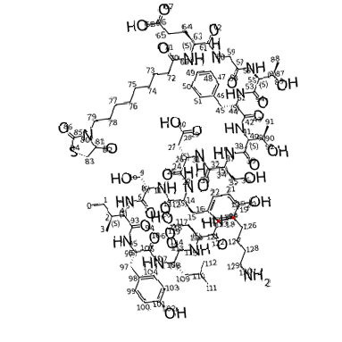 CC[C@H](C)[C@H](NC(=O)[C@H](CO)NC(=O)[C@H](Cc1ccc(O)cc1)NC(=O)[C@H](CC(=O)O)NC(=O)[C@H](CO)NC(=O)[C@@H](NC(=O)[C@H](Cc1ccccc1)NC(=O)[C@@H](NC(=O)CNC(=O)[C@H](CCC(=O)O)NC(=O)CCCCCCCCN1C(=O)CSC1=O)[C@@H](C)O)[C@@H](C)O)C(=O)N[C@@H](Cc1ccc(O)cc1)C(=O)N[C@@H](CC(C)C)C(=O)N[C@@H](CC(=O)O)C(=O)N[C@H](C)CCCCN